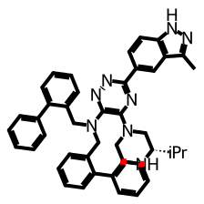 Cc1n[nH]c2ccc(-c3nnc(N(Cc4ccccc4-c4ccccc4)Cc4ccccc4-c4ccccc4)c(N4CCN[C@@H](C(C)C)C4)n3)cc12